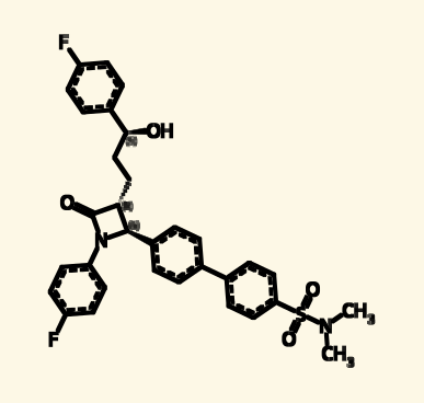 CN(C)S(=O)(=O)c1ccc(-c2ccc([C@@H]3[C@@H](CC[C@H](O)c4ccc(F)cc4)C(=O)N3c3ccc(F)cc3)cc2)cc1